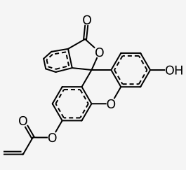 C=CC(=O)Oc1ccc2c(c1)Oc1cc(O)ccc1C21OC(=O)c2ccccc21